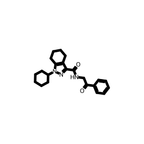 O=C(CNC(=O)c1nn(C2CCCCC2)c2c1CCCC2)c1ccccc1